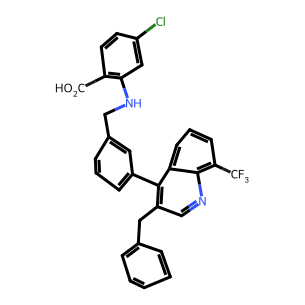 O=C(O)c1ccc(Cl)cc1NCc1cccc(-c2c(Cc3ccccc3)cnc3c(C(F)(F)F)cccc23)c1